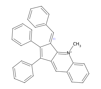 C[n+]1c2c(cc3ccccc31)C(c1ccccc1)=C(c1ccccc1)/C2=C\c1ccccc1